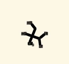 CCN(CC)C(C)(O)CO